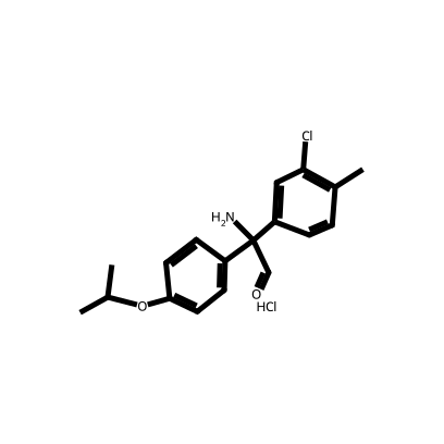 Cc1ccc(C(N)(C=O)c2ccc(OC(C)C)cc2)cc1Cl.Cl